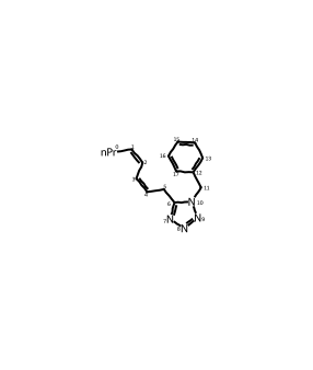 CCC/C=C\C=C/Cc1nnnn1Cc1ccccc1